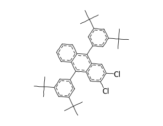 CC(C)(C)c1cc(-c2c3ccccc3c(-c3cc(C(C)(C)C)cc(C(C)(C)C)c3)c3cc(Cl)c(Cl)cc23)cc(C(C)(C)C)c1